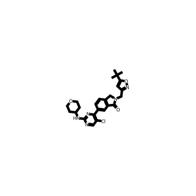 CC(C)(C)c1cc(CN2Cc3ccc(-c4nc(NC5CCOCC5)ncc4Cl)cc3C2=O)no1